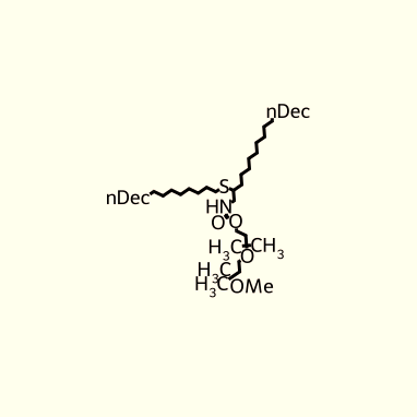 CCCCCCCCCCCCCCCCCCCC(CNC(=O)OCCC(C)(C)OCCC(C)(C)OC)SCCCCCCCCCCCCCCCCCC